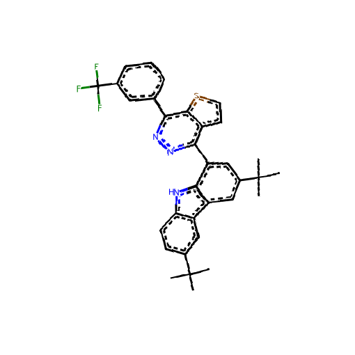 CC(C)(C)c1ccc2[nH]c3c(-c4nnc(-c5cccc(C(F)(F)F)c5)c5sccc45)cc(C(C)(C)C)cc3c2c1